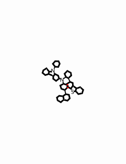 c1ccc(-n2c3ccccc3c3ccc(N(c4ccc(-c5cccc6ccccc56)cc4)c4ccccc4-c4ccc5sc6ccccc6c5c4)cc32)cc1